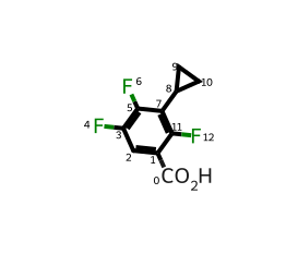 O=C(O)c1cc(F)c(F)c(C2CC2)c1F